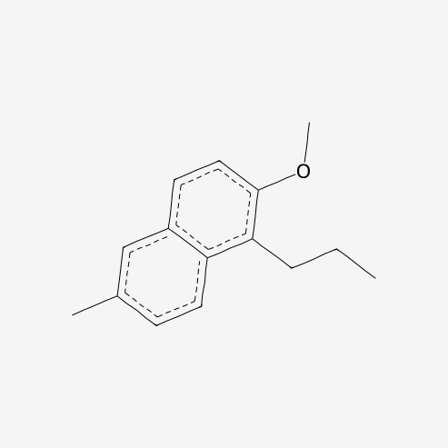 CCCc1c(OC)ccc2cc(C)ccc12